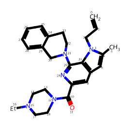 C=CCn1c(C)cc2cc(C(=O)N3CCN(CC)CC3)nc(N3CCc4ccccc4C3)c21